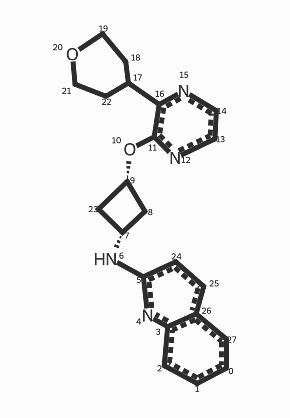 c1ccc2nc(N[C@H]3C[C@@H](Oc4nccnc4C4CCOCC4)C3)ccc2c1